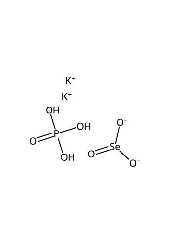 O=P(O)(O)O.O=[Se]([O-])[O-].[K+].[K+]